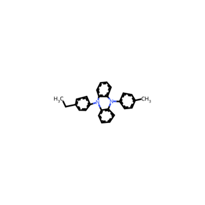 CCc1ccc(N2c3ccccc3N(c3ccc(C)cc3)c3ccccc32)cc1